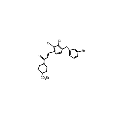 CCOC(=O)C1CCN(C(=O)C=Cc2ccc(Sc3cccc(Br)c3)c(Cl)c2Cl)CC1